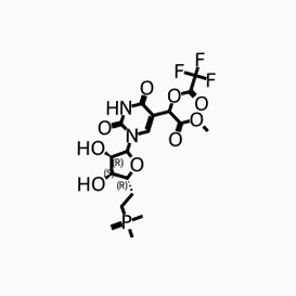 C=P(C)(C)CC[C@H]1OC(n2cc(C(OC(=O)C(F)(F)F)C(=O)OC)c(=O)[nH]c2=O)[C@H](O)[C@@H]1O